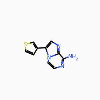 Nc1nccn2c(-c3ccsc3)cnc12